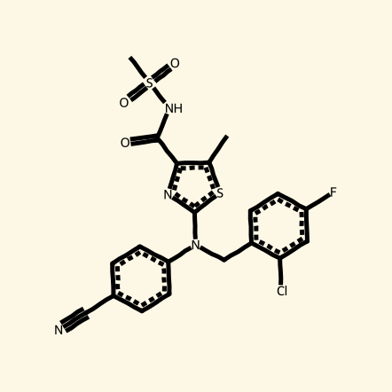 Cc1sc(N(Cc2ccc(F)cc2Cl)c2ccc(C#N)cc2)nc1C(=O)NS(C)(=O)=O